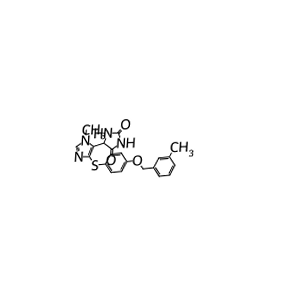 Cc1cccc(COc2ccc(Sc3ncn(C)c3C3NC(=O)NC3=O)cc2)c1